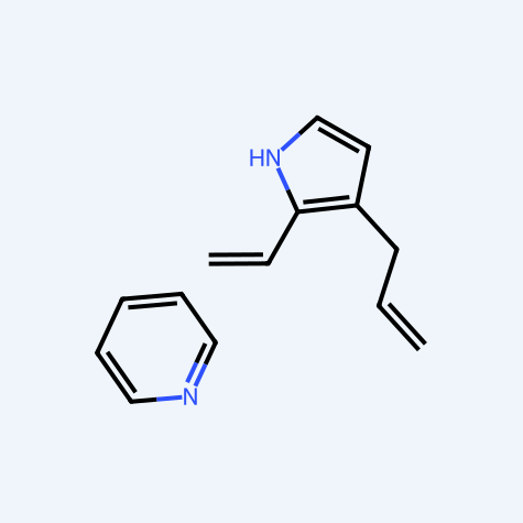 C=CCc1cc[nH]c1C=C.c1ccncc1